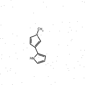 Cn1ccc(-c2ccc[nH]2)c1